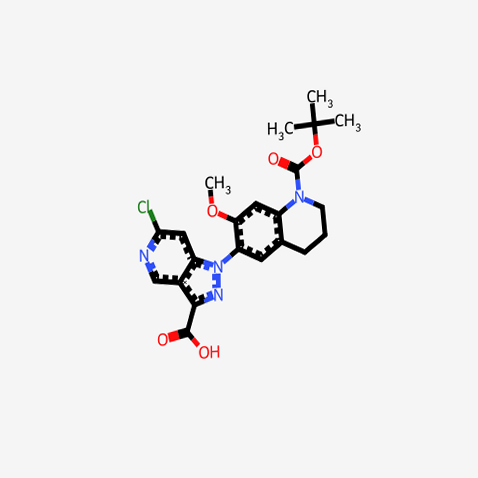 COc1cc2c(cc1-n1nc(C(=O)O)c3cnc(Cl)cc31)CCCN2C(=O)OC(C)(C)C